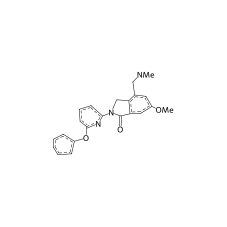 CNCc1cc(OC)cc2c1CN(c1cccc(Oc3ccccc3)n1)C2=O